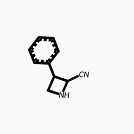 N#CC1NCC1c1ccccc1